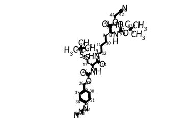 CC(C)(C)OC(=O)N[C@@H](CCCCNC(=O)[C@H](CSSC(C)(C)C)NC(=O)OCc1ccc(N=[N+]=[N-])cc1)C(=O)OCC#N